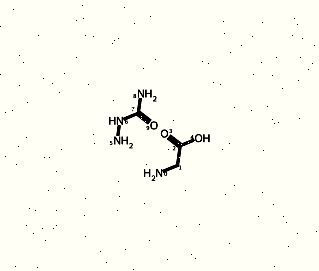 NCC(=O)O.NNC(N)=O